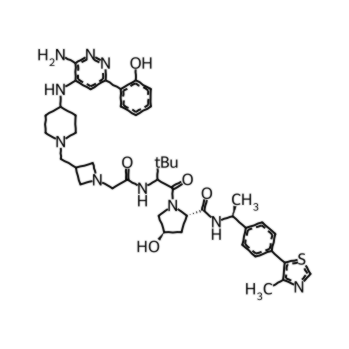 Cc1ncsc1-c1ccc([C@H](C)NC(=O)[C@@H]2C[C@@H](O)CN2C(=O)C(NC(=O)CN2CC(CN3CCC(Nc4cc(-c5ccccc5O)nnc4N)CC3)C2)C(C)(C)C)cc1